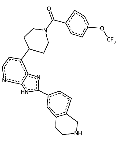 O=C(c1ccc(OC(F)(F)F)cc1)N1CCC(c2ccnc3[nH]c(-c4ccc5c(c4)CCNC5)nc23)CC1